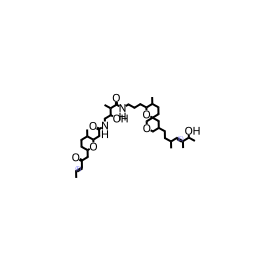 C/C=C/C(=O)CC1CCC(C)C(CC(=O)NCC(O)C(C)C(=O)NCCCC2OC3(CCC2C)COCC(CCC(C)/C=C(\C)C(C)O)C3)O1